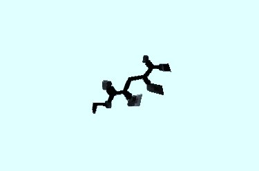 CCOC(=O)C(O)CC(O)C(=O)O